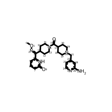 CON=C(c1cccc(=O)[nH]1)C1CCN(C(=O)C2CCN(Cc3ccnc(N)c3)CC2)CC1